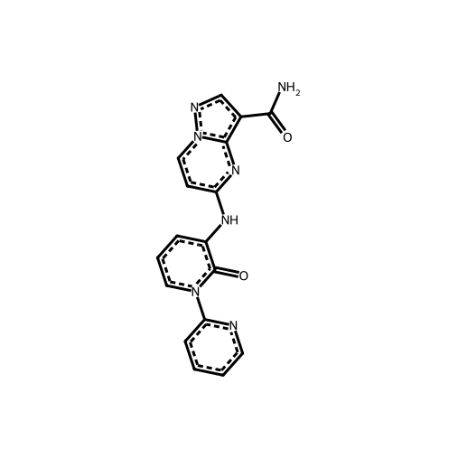 NC(=O)c1cnn2ccc(Nc3cccn(-c4ccccn4)c3=O)nc12